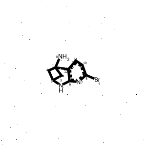 NC12CC(C1)Nc1nc(Br)ccc12